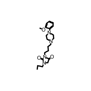 CCCN1CC(=O)N(CCCCN2CCN(c3ccccc3OC)CC2)C1=O